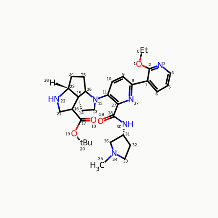 CCOc1ncccc1-c1ccc(N2CC[C@]34C(C(=O)OC(C)(C)C)CN[C@@H]3CCC24)c(C(=O)N[C@@H]2CCN(C)C2)n1